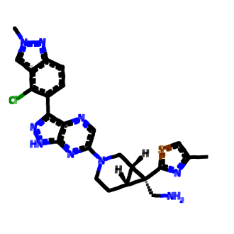 Cc1csc([C@@]2(CN)[C@@H]3CCN(c4cnc5c(-c6ccc7nn(C)cc7c6Cl)n[nH]c5n4)C[C@@H]32)n1